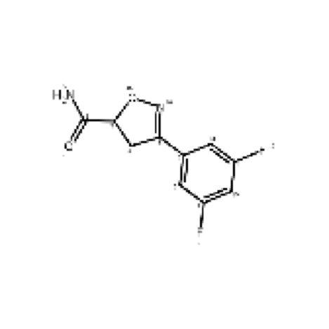 NC(=O)C1CC(c2cc(F)cc(F)c2)=NO1